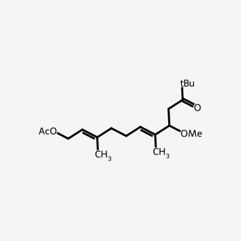 COC(CC(=O)C(C)(C)C)/C(C)=C/CC/C(C)=C/COC(C)=O